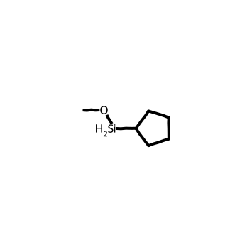 CO[SiH2]C1CCCC1